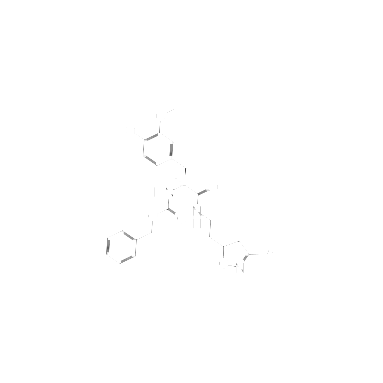 COc1cc(C[C@H](NC(=O)OCc2ccccc2)C(=O)NCCC2CC(Br)=NO2)ccc1O